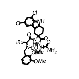 CCC(C)C(C(=O)N[C@]1(C(=O)N[C@H](C(N)=O)[C@@H](C)CC)CCc2[nH]c3c(Cl)cc(Cl)cc3c2C1)N(Cc1cccc(OC)c1OC)C(=O)O